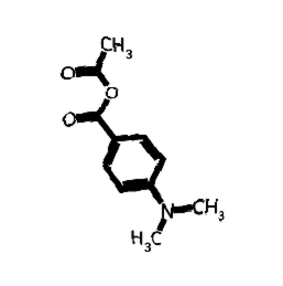 CC(=O)OC(=O)c1ccc(N(C)C)cc1